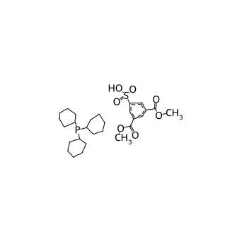 C1CCC(P(C2CCCCC2)C2CCCCC2)CC1.COC(=O)c1cc(C(=O)OC)cc(S(=O)(=O)O)c1